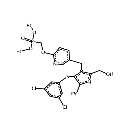 CCOP(=O)(COc1ccc(Cn2c(CO)nc(C(C)C)c2Sc2cc(Cl)cc(Cl)c2)cn1)OCC